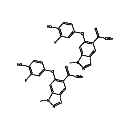 COC(=O)c1cc2cnn(C)c2cc1Oc1ccc(O)c(F)c1.COC(=O)c1cc2cnn(C)c2cc1Oc1ccc(O)c(F)c1